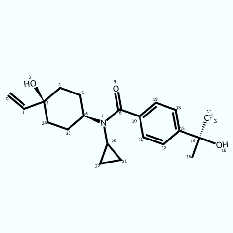 C=C[C@]1(O)CC[C@@H](N(C(=O)c2ccc([C@](C)(O)C(F)(F)F)cc2)C2CC2)CC1